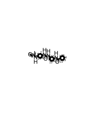 O=CN(I)Nc1ccc(NC(=O)Nc2cccc(NC(=O)c3ccccc3)c2)cc1